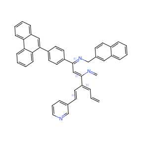 C=C/C=C(\C=C\c1cccnc1)C(=C/C(=N\Cc1ccc2ccccc2c1)c1ccc(-c2cc3ccccc3c3ccccc23)cc1)/N=C